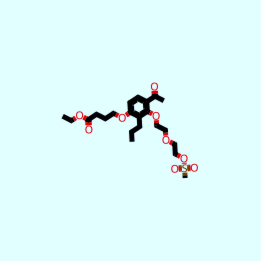 CCCc1c(OCCCC(=O)OCC)ccc(C(C)=O)c1OCCOCCOS(C)(=O)=O